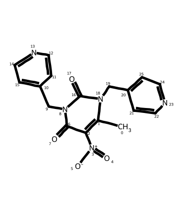 Cc1c([N+](=O)[O-])c(=O)n(Cc2ccncc2)c(=O)n1Cc1ccncc1